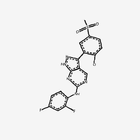 CS(=O)(=O)c1ccc(Cl)c(-c2n[nH]c3nc(Nc4ccc(F)cc4F)ncc23)c1